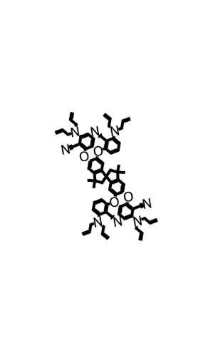 C=CCN(CC=C)c1cccc(Oc2cc3c(cc2Oc2cccc(N(CC=C)CC=C)c2C#N)C2(CC3(C)C)CC(C)(C)c3cc(Oc4cccc(N(CC=C)CC=C)c4C#N)c(Oc4cccc(N(CC=C)CC=C)c4C#N)cc32)c1C#N